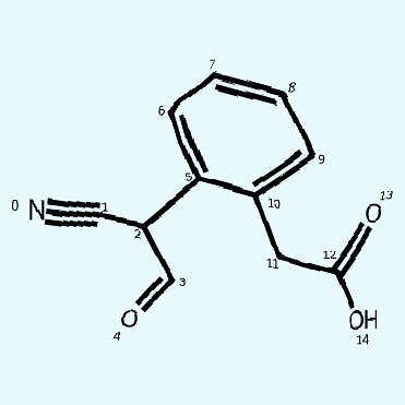 N#CC(C=O)c1ccccc1CC(=O)O